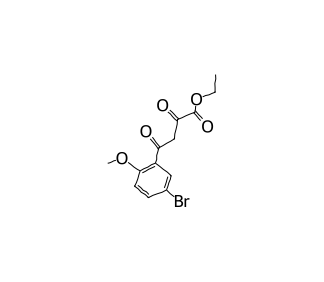 CCOC(=O)C(=O)CC(=O)c1cc(Br)ccc1OC